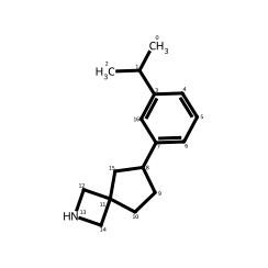 CC(C)c1cccc(C2CCC3(CNC3)C2)c1